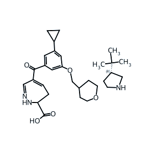 CC(C)(C)[C@H]1CCNC1.O=C(C1=CCC(C(=O)O)NN=C1)c1cc(OCC2CCOCC2)cc(C2CC2)c1